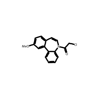 COc1ccc2c(c1)-c1ccccc1N(C(=O)CCl)C=C2